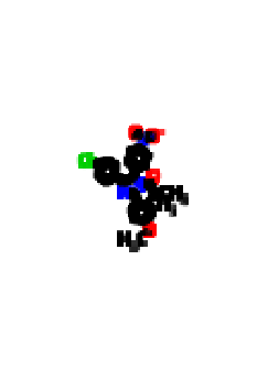 COc1ccc(C2=NC(c3ccc(Cl)cc3)C(c3ccc([N+](=O)[O-])cc3)N2C(=O)C(C)C)cc1